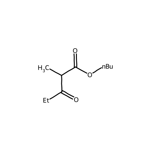 CCCCOC(=O)C(C)C(=O)CC